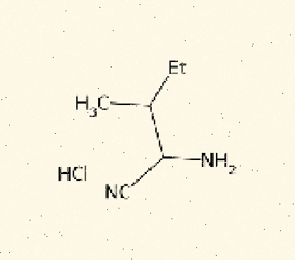 CCC(C)C(N)C#N.Cl